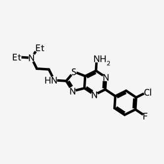 CCN(CC)CCNc1nc2nc(-c3ccc(F)c(Cl)c3)nc(N)c2s1